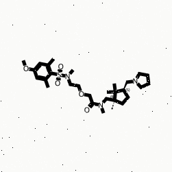 COc1cc(C)c(S(=O)(=O)N(C)CCOCC(=O)N(C)C[C@]2(C)CC[C@H](CN3CCCC3)C2(C)C)c(C)c1